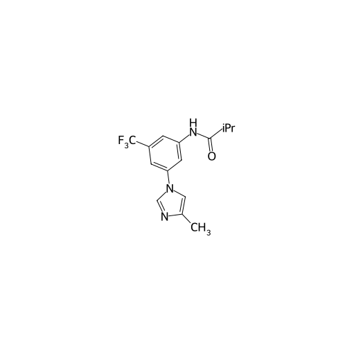 Cc1cn(-c2cc(NC(=O)C(C)C)cc(C(F)(F)F)c2)cn1